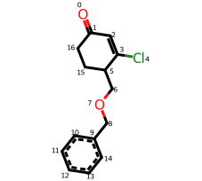 O=C1C=C(Cl)C(COCc2ccccc2)CC1